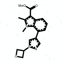 COC(=O)c1c(C)n(C)c2c(-c3cnn(C4COC4)c3)cccc12